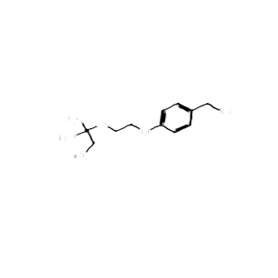 CC(C)Cc1ccc(OCCOC(C)(O)CC(C)C)cc1